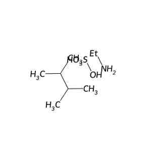 CC(C)C(C)C.CCN.O=S(=O)(O)O